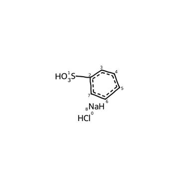 Cl.O=S(=O)(O)c1ccccc1.[NaH]